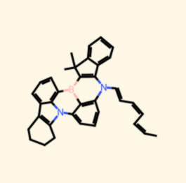 C\C=C/C=C\C=C\N1C2=C(B3c4c1cccc4-n1c4c(c5cccc3c51)CCCC4)C(C)(C)c1ccccc12